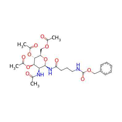 CC(=O)N[C@H]1[C@@H](OC(C)=O)[C@H](OC(C)=O)[C@@H](COC(C)=O)O[C@H]1NC(=O)CCCNC(=O)OCc1ccccc1